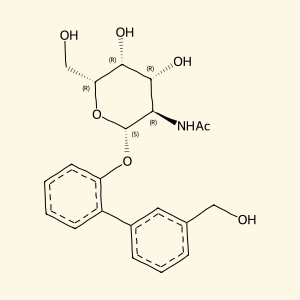 CC(=O)N[C@H]1[C@H](Oc2ccccc2-c2cccc(CO)c2)O[C@H](CO)[C@H](O)[C@@H]1O